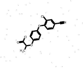 CC(Oc1ccc(Oc2ccc(C#N)cc2Cl)cc1)C(=O)Cl